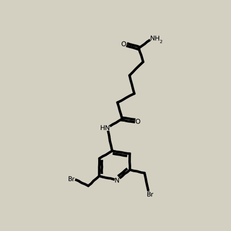 NC(=O)CCCCC(=O)Nc1cc(CBr)nc(CBr)c1